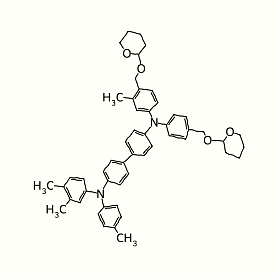 Cc1ccc(N(c2ccc(-c3ccc(N(c4ccc(COC5CCCCO5)cc4)c4ccc(COC5CCCCO5)c(C)c4)cc3)cc2)c2ccc(C)c(C)c2)cc1